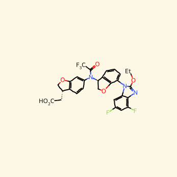 CCOc1nc2c(F)cc(F)cc2n1-c1cccc2c1OC[C@H]2N(C(=O)C(F)(F)F)c1ccc2c(c1)OC[C@H]2CC(=O)O